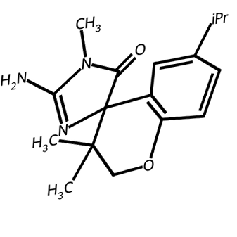 CC(C)c1ccc2c(c1)C1(N=C(N)N(C)C1=O)C(C)(C)CO2